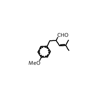 COc1ccc(CC(C=O)C=C(C)C)cc1